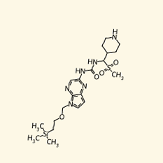 C[Si](C)(C)CCOCn1ccc2nc(NC(=O)NC(C3CCNCC3)S(C)(=O)=O)cnc21